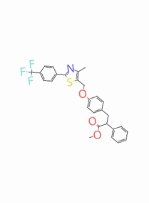 COC(=O)C(Cc1ccc(OCc2sc(-c3ccc(C(F)(F)F)cc3)nc2C)cc1)c1ccccc1